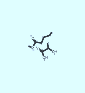 CC(O)C(=O)O.CCCCC(=O)OC